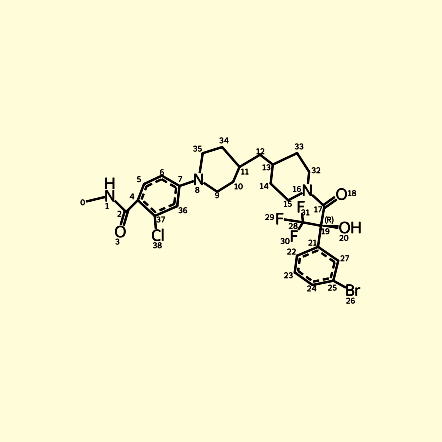 CNC(=O)c1ccc(N2CCC(CC3CCN(C(=O)[C@](O)(c4cccc(Br)c4)C(F)(F)F)CC3)CC2)cc1Cl